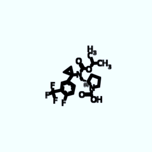 CC(C)OC(=O)N(C[C@@H]1CCCN1C(=O)O)C1(c2ccc(F)c(C(F)(F)F)c2)CC1